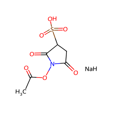 CC(=O)ON1C(=O)CC(S(=O)(=O)O)C1=O.[NaH]